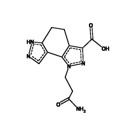 NC(=O)CCn1nc(C(=O)O)c2c1-c1cn[nH]c1CC2